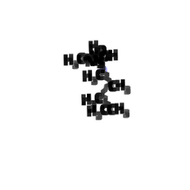 C/C(=C\CSCC(Nc1cc(C)c[nH]1)C(=O)O)CCCC(C)CCCC(C)CCCC(C)C